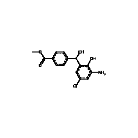 COC(=O)c1ccc(C(O)c2cc(Cl)cc(N)c2O)cc1